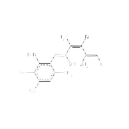 B/C=C(B)/C(B)=C(B)\C(B)=C\c1c(B)cc(B)c(Br)c1B